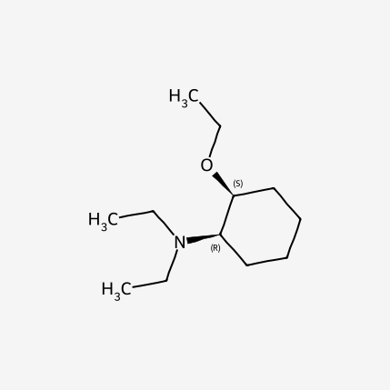 CCO[C@H]1CCCC[C@H]1N(CC)CC